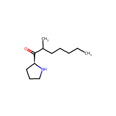 CCCCCC(C)C(=O)[C@@H]1CCCN1